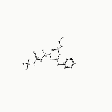 CCOC(=O)CN(CC[C@@H](C)NC(=O)OC(C)(C)C)Cc1ccccc1